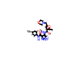 Cc1oc(CN2CCOCC2)cc1C(=O)Nc1c[nH]nc1C(=O)NC1CCC(C(C)(C)C)CC1